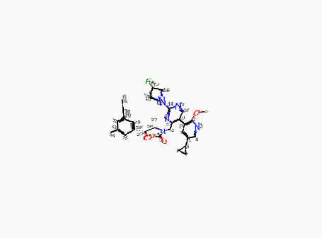 COc1ncc(C2CC2)cc1-c1cnc(N2CC(F)C2)nc1CN1C(=O)O[C@H](c2cc(C)cc(C)c2)[C@@H]1C